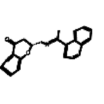 C/C(=N\C[C@H]1CC(=O)c2ccccc2O1)c1cccc2ccccc12